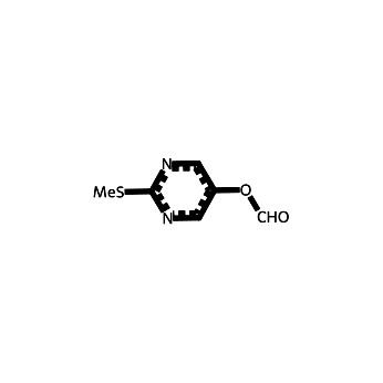 CSc1ncc(OC=O)cn1